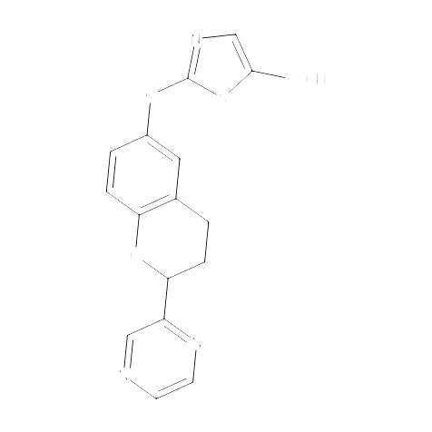 O=C(O)c1cnc(Oc2ccc3c(c2)CCC(c2cnccn2)O3)s1